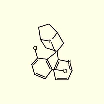 Clc1cccc(Cl)c1CN1C2CCC1CC(c1ccccn1)C2